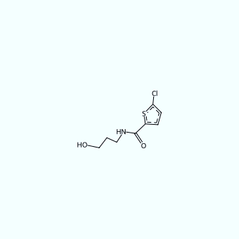 O=C(NCCCO)c1ccc(Cl)s1